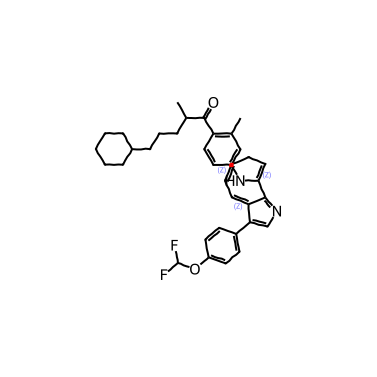 Cc1cc(N/C2=C\C/C=C\C=C3\C(c4ccc(OC(F)F)cc4)=CN=C23)ccc1C(=O)C(C)CCCC1CCCCC1